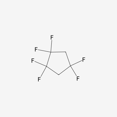 FC1(F)CC(F)(F)C(F)(F)C1